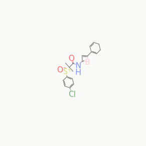 CC(C)(C(=O)NC1=BC(C2=CCCC=C2)=C1)[S+]([O-])c1ccc(Cl)cc1